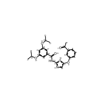 CC(=O)c1cccc(Oc2cnc(NC(=O)c3cc(OC(C)C)cc(OC(C)C)c3)s2)c1